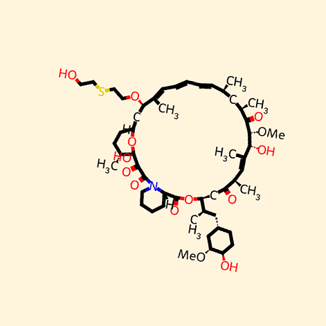 CO[C@@H]1C[C@H](C[C@@H](C)[C@@H]2CC(=O)[C@H](C)/C=C(\C)[C@@H](O)[C@@H](OC)C(=O)[C@H](C)C[C@H](C)/C=C/C=C/C=C(\C)[C@H](OCCSCCO)C[C@@H]3CC[C@@H](C)[C@@](O)(O3)C(=O)C(=O)N3CCCC[C@H]3C(=O)O2)CC[C@H]1O